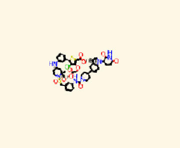 CCCCOC(=O)c1sc(-c2cccc(N[C@H]3CCN(S(=O)(=O)Cc4cccc(NC(=O)N5CCC(c6ccc7c(ccn7C7CCC(=O)NC7=O)c6)CC5)c4)C(C)(C)C3)c2)c(Cl)c1OCC(=O)OC(C)(C)C